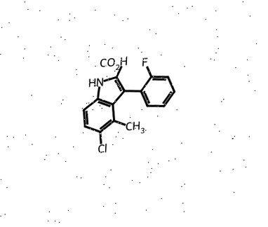 Cc1c(Cl)ccc2[nH]c(C(=O)O)c(-c3ccccc3F)c12